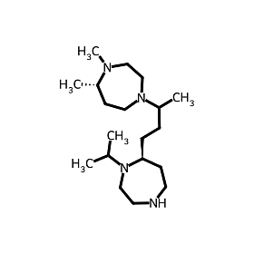 CC(CC[C@H]1CCNCCN1C(C)C)N1CC[C@H](C)N(C)CC1